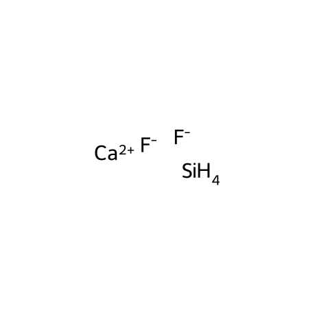 [Ca+2].[F-].[F-].[SiH4]